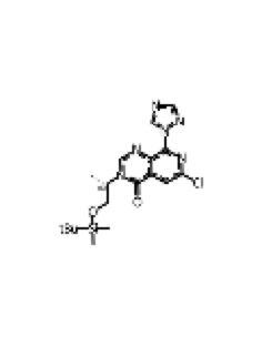 C[C@@H](CO[Si](C)(C)C(C)(C)C)n1cnc2c(-n3cncn3)nc(Cl)cc2c1=O